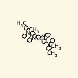 Cc1ccc(N(c2ccccc2)c2ccc3c4cc5c(cc4n4c6c(c2c34)=CCCC=6)c2ccc(N(c3ccccc3)c3ccc(C)cc3C)c3c4ccccc4n5c23)c(C)c1